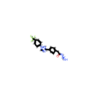 N=[N+]=NC(=O)Cc1ccc(-c2ncn(-c3ccc(C(F)(F)F)cc3)n2)cc1